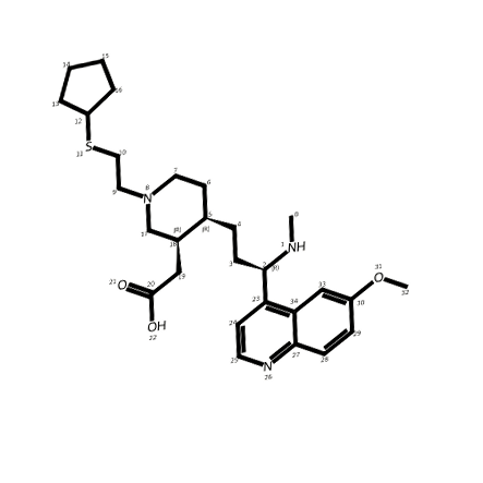 CN[C@H](CC[C@@H]1CCN(CCSC2CCCC2)C[C@@H]1CC(=O)O)c1ccnc2ccc(OC)cc12